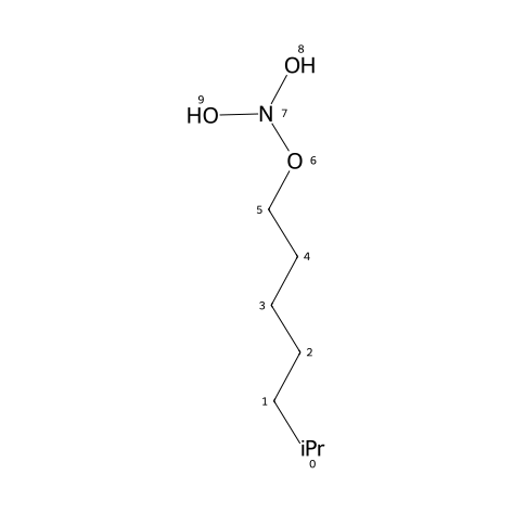 CC(C)CCCCCON(O)O